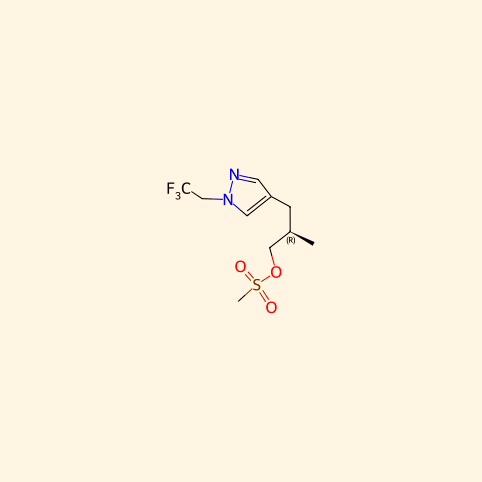 C[C@@H](COS(C)(=O)=O)Cc1cnn(CC(F)(F)F)c1